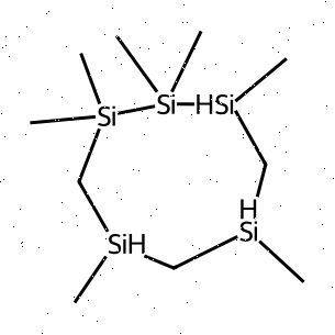 C[SiH]1C[SiH](C)C[Si](C)(C)[Si](C)(C)[SiH](C)C1